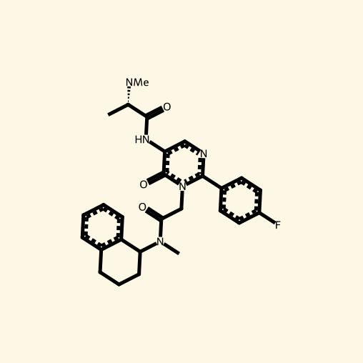 CN[C@@H](C)C(=O)Nc1cnc(-c2ccc(F)cc2)n(CC(=O)N(C)C2CCCc3ccccc32)c1=O